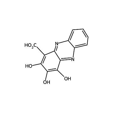 O=C(O)c1c(O)c(O)c(O)c2nc3ccccc3nc12